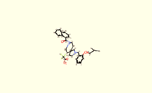 CC(C)COc1ccccc1CN1CCC2(CCN(C(=O)c3cccc4ccccc34)CC2)C1.O=C(O)C(F)(F)F